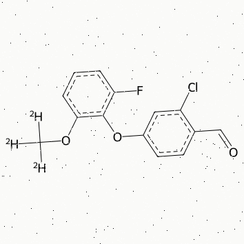 [2H]C([2H])([2H])Oc1cccc(F)c1Oc1ccc(C=O)c(Cl)c1